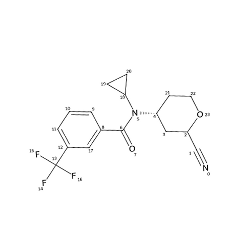 N#CC1C[C@H](N(C(=O)c2cccc(C(F)(F)F)c2)C2CC2)CCO1